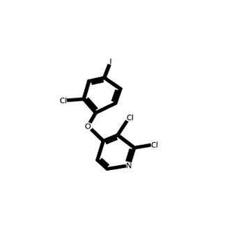 Clc1cc(I)ccc1Oc1ccnc(Cl)c1Cl